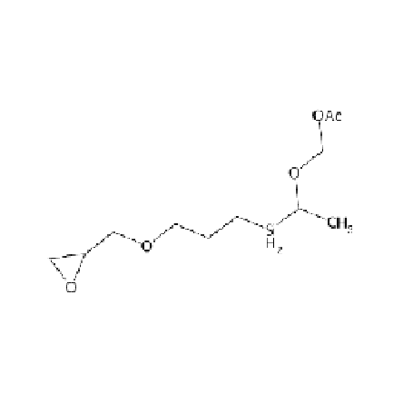 CC(=O)OCOC(C)[SiH2]CCCOCC1CO1